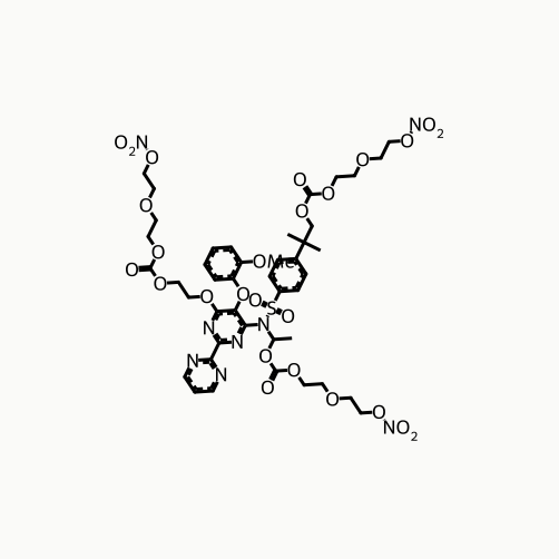 COc1ccccc1Oc1c(OCCOC(=O)OCCOCCO[N+](=O)[O-])nc(-c2ncccn2)nc1N(C(C)OC(=O)OCCOCCO[N+](=O)[O-])S(=O)(=O)c1ccc(C(C)(C)COC(=O)OCCOCCO[N+](=O)[O-])cc1